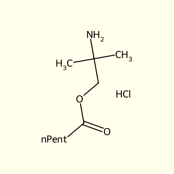 CCCCCC(=O)OCC(C)(C)N.Cl